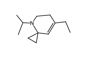 CCC1=CC2(CC2)N(C(C)C)CC1